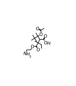 CCC(C)(C(=O)OCCN)C(C(=O)O)C(C)(OC(C)=O)C(C)(C)C